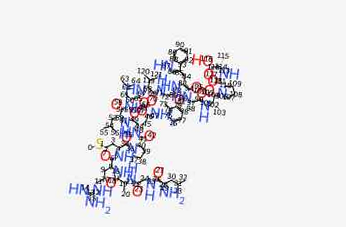 CSCC[C@H](NC(=O)[C@H](CCCNC(=N)N)NC(=O)[C@H](C)NC(=O)CNC(=O)[C@@H](N)CC(C)C)C(=O)N1CCC[C@H]1C(=O)N[C@@H](CC(N)=O)C(=O)N[C@@H](CC(C)C)C(=O)N[C@@H](CC(C)C)C(=O)N[C@H](C(=O)N[C@@H](Cc1ccccc1)C(=O)N[C@@H](Cc1c[nH]c2ccccc12)C(=O)N[C@@H](C)C(=O)N[C@@H](C)C(=O)N1CCC[C@H]1C(=O)N[C@@H](C)C(=O)O)C(C)C